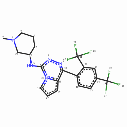 CN1CCC[C@@H](Nc2nnc(-c3ccc(C(F)(F)F)cc3C(F)(F)F)c3cccn23)C1